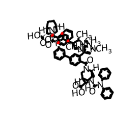 CC1CC=CC=C1N(C(=O)N1C[C@@H]2CC[C@H]([C@H]1C(=O)O)N2C(=O)c1ccc(C2C=NN(C)C2C)cc1)c1cccc(-c2ccc(C(=O)N3C[C@@H]4CC[C@H]3CN(C(=O)N(c3ccccc3)c3ccccc3)[C@@H]4C(=O)O)c(-c3cnn(C)c3)c2)c1